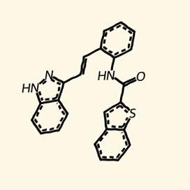 O=C(Nc1ccccc1C=Cc1n[nH]c2ccccc12)c1cc2ccccc2s1